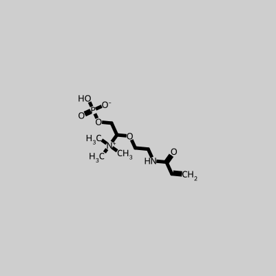 C=CC(=O)NCCOC(COP(=O)([O-])O)[N+](C)(C)C